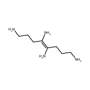 NCCCC(N)=C(N)CCCN